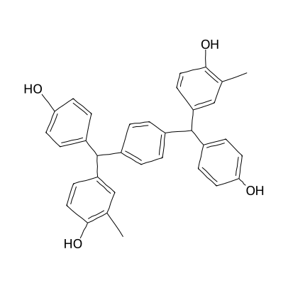 Cc1cc(C(c2ccc(O)cc2)c2ccc(C(c3ccc(O)cc3)c3ccc(O)c(C)c3)cc2)ccc1O